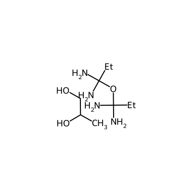 CC(O)CO.CCC(N)(N)OC(N)(N)CC